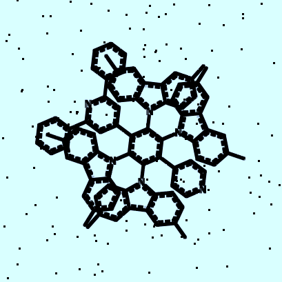 Cc1ccc2c(c1)c1cc(C)ccc1n2-c1c(-c2ccncc2)c(-n2c3ccc(C)cc3c3cc(C)ccc32)c(-n2c3ccc(C)cc3c3cc(C)ccc32)c(-c2cc(-c3ccccc3)nc(-c3ccccc3)c2)c1-n1c2ccc(C)cc2c2cc(C)ccc21